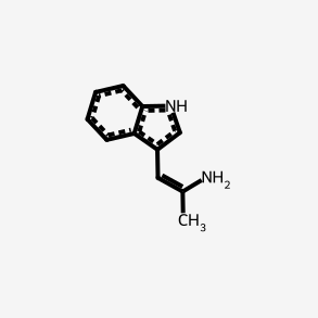 C/C(N)=C/c1c[nH]c2ccccc12